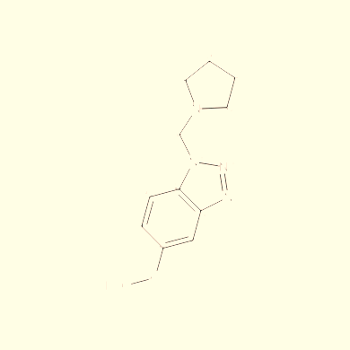 COc1ccc2c(c1)nnn2CN1CCCC1